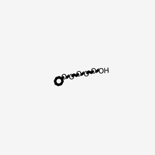 OCCOCCOCCOCCOCCOC1CCCCCCC1